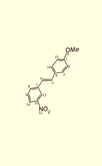 COc1ccc(C=Cc2cccc([N+](=O)[O-])c2)cc1